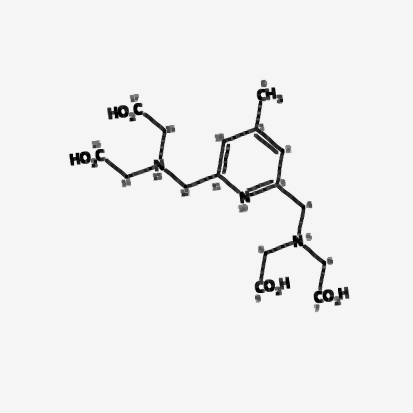 Cc1cc(CN(CC(=O)O)CC(=O)O)nc(CN(CC(=O)O)CC(=O)O)c1